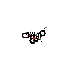 CC(C)(Oc1ccc(Cl)cc1Cl)C(=O)NC1CC2CCC(C1)N2C(=O)c1cccc(C#N)c1